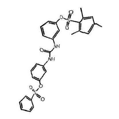 Cc1cc(C)c(S(=O)(=O)Oc2cccc(NC(=O)Nc3cccc(OS(=O)(=O)c4ccccc4)c3)c2)c(C)c1